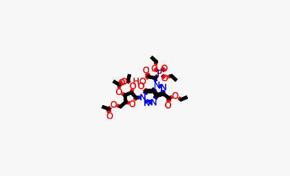 CCOC(=O)c1nn(C(C(=O)O)P(=O)(OCC)OCC)c2c(=O)n(C3OC(COC(C)=O)C(OC(C)=O)C3OC(C)=O)nnc12